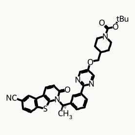 C[C@H](c1cccc(-c2ncc(OCC3CCN(C(=O)OC(C)(C)C)CC3)cn2)c1)n1c(=O)ccc2c3cc(C#N)ccc3sc21